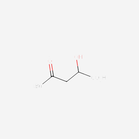 CC(C)(C)C(=O)CC(O)C(=O)O